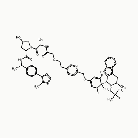 Cc1ncsc1-c1ccc([C@H](C)NC(=O)[C@@H]2C[C@@H](O)CN2C(=O)[C@@H](NC(=O)COCCc2ccc(COC3=CC(F)C(C)([C@@H]4c5[nH]c6ccccc6c5C[C@@H](C)N4CC(C)(C)F)C(F)=C3)nc2)C(C)(C)C)cc1